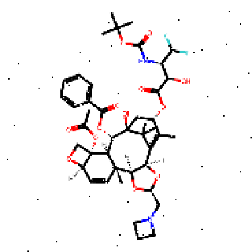 CC(=O)O[C@@]12CO[C@@H]1C=C[C@@]1(C)[C@@H]3O[C@H](CN4CCC4)O[C@@H]3C3=C(C)[C@@H](OC(=O)[C@H](O)[C@@H](NC(=O)OC(C)(C)C)C(F)F)C[C@@](O)([C@@H](OC(=O)c4ccccc4)[C@@H]12)C3(C)C